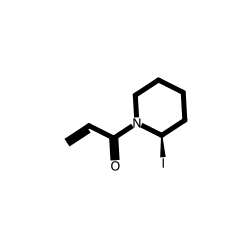 C=CC(=O)N1CCCC[C@H]1I